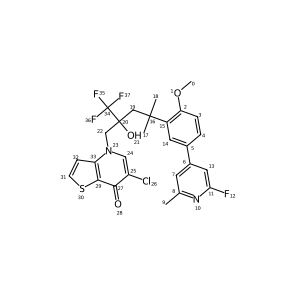 COc1ccc(-c2cc(C)nc(F)c2)cc1C(C)(C)CC(O)(Cn1cc(Cl)c(=O)c2sccc21)C(F)(F)F